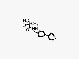 CCC(C)(C)C(=O)NCc1ccc(-c2ccncc2)cc1